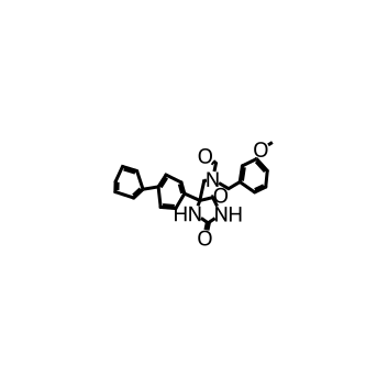 COc1cccc(CN(C=O)CC2(c3ccc(-c4ccccc4)cc3)NC(=O)NC2=O)c1